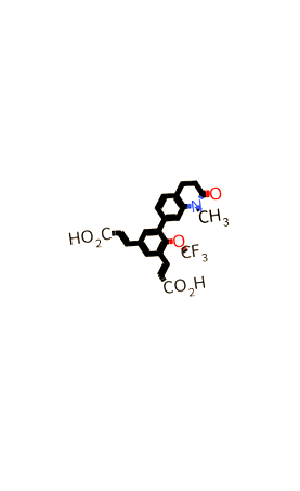 CN1C(=O)CCc2ccc(-c3cc(C=CC(=O)O)cc(C=CC(=O)O)c3OC(F)(F)F)cc21